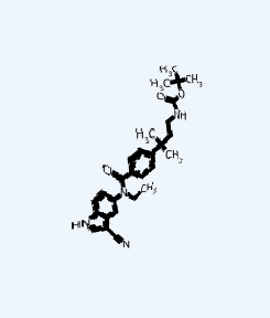 CCN(C(=O)c1ccc(C(C)(C)CCNC(=O)OC(C)(C)C)cc1)c1ccc2[nH]cc(C#N)c2c1